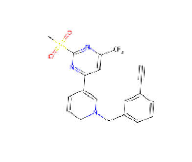 C#Cc1cccc(CN2C=C(c3cc(C(F)(F)F)nc(S(C)(=O)=O)n3)C=CC2)c1